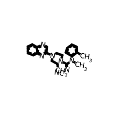 Cc1ccccc1N(C)/C(=N/C#N)N1CCN(c2cnc3ccccc3n2)CC1C